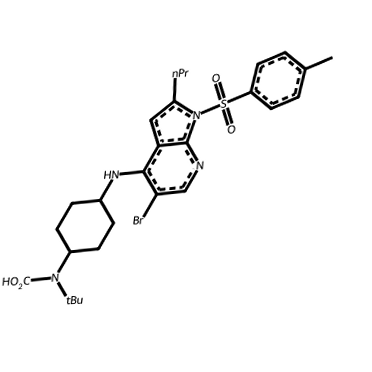 CCCc1cc2c(NC3CCC(N(C(=O)O)C(C)(C)C)CC3)c(Br)cnc2n1S(=O)(=O)c1ccc(C)cc1